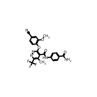 COc1cc(C#N)ccc1Oc1nnc(C(F)(F)F)c(C)c1C(=O)Nc1ccc(C(N)=O)cc1